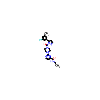 CCNC(=O)c1ccnc(N2CCN(C(=O)N3N=CCC3c3cc(C)cc(F)c3)CC2)n1